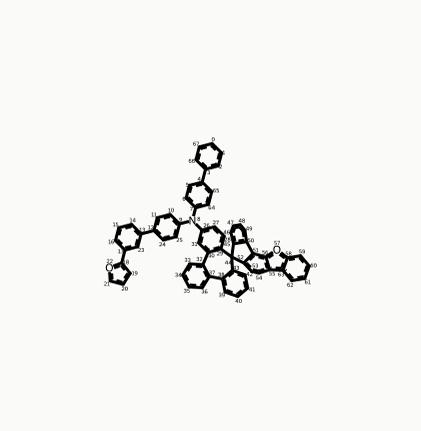 c1ccc(-c2ccc(N(c3ccc(-c4cccc(-c5ccco5)c4)cc3)c3ccc4c(c3)-c3ccccc3-c3ccccc3C43c4ccccc4-c4c3ccc3c4oc4ccccc43)cc2)cc1